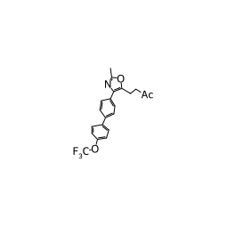 CC(=O)CCc1oc(C)nc1-c1ccc(-c2ccc(OC(F)(F)F)cc2)cc1